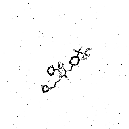 O=C(NCCCn1ccnc1)[C@H](Cc1ccc(C(F)(F)P(=O)(O)O)cc1)NS(=O)(=O)c1ccccc1